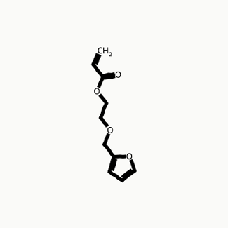 C=CC(=O)OCCOCc1ccco1